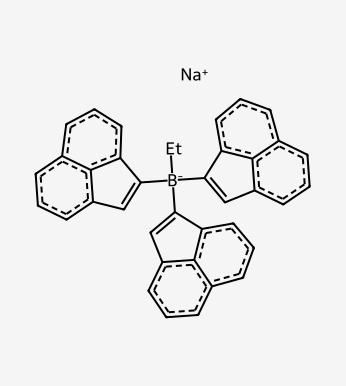 CC[B-](C1=Cc2cccc3cccc1c23)(C1=Cc2cccc3cccc1c23)C1=Cc2cccc3cccc1c23.[Na+]